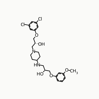 COc1cccc(OC[C@@H](O)CNC2CCN(C[C@@H](O)COc3cc(Cl)cc(Cl)c3)CC2)c1